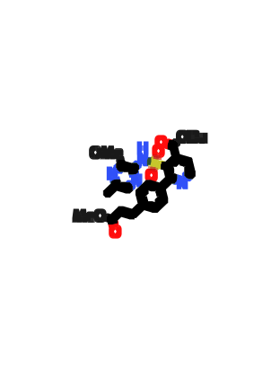 COC(=O)C=Cc1ccc(-c2nccc(C(=O)OCC(C)C)c2S(=O)(=O)Nc2ncc(C)nc2OC)cc1